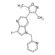 Cc1noc(C)c1-c1cnc2c(I)cn(Cc3ccccn3)c2c1